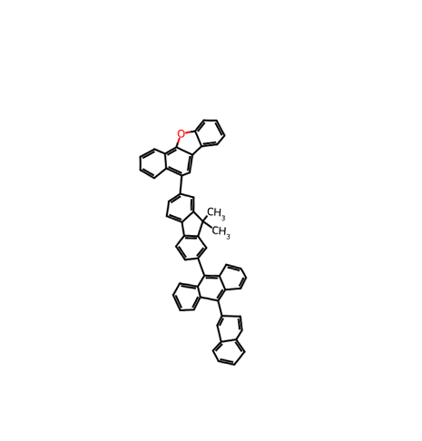 CC1(C)c2cc(-c3c4ccccc4c(-c4ccc5ccccc5c4)c4ccccc34)ccc2-c2ccc(-c3cc4c5ccccc5oc4c4ccccc34)cc21